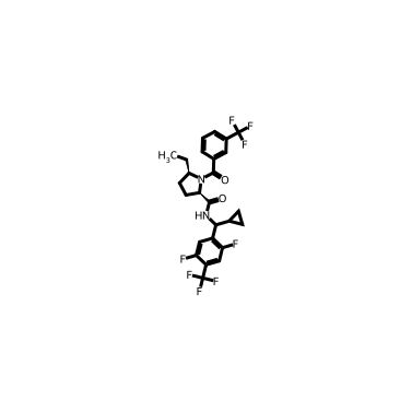 CC[C@@H]1CC[C@H](C(=O)NC(c2cc(F)c(C(F)(F)F)cc2F)C2CC2)N1C(=O)c1cccc(C(F)(F)F)c1